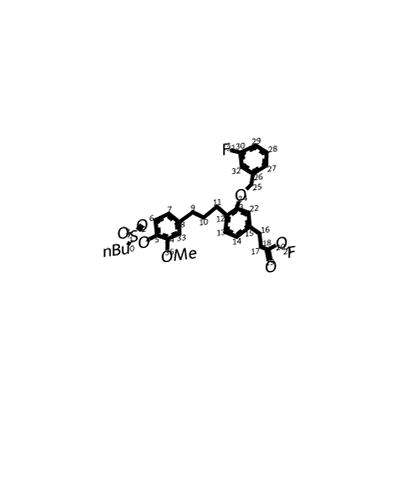 CCCCS(=O)(=O)Oc1ccc(CCCc2ccc(CCC(=O)OF)cc2OCc2cccc(F)c2)cc1OC